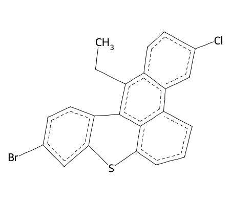 CCc1c2c3c(cccc3c3cc(Cl)ccc13)Sc1cc(Br)ccc1-2